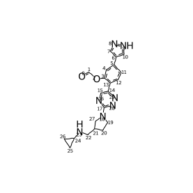 O=COc1cc(-c2cn[nH]c2)ccc1-c1cnc(N2CCC(CNC3CC3)C2)nn1